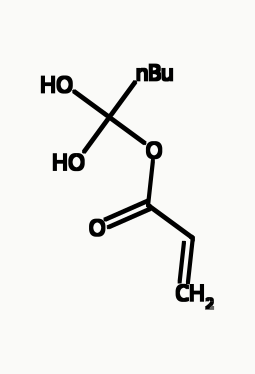 C=CC(=O)OC(O)(O)CCCC